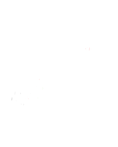 CCC(C)(C)Oc1ccc(OCCCCCCCCCCCO)c(F)c1F